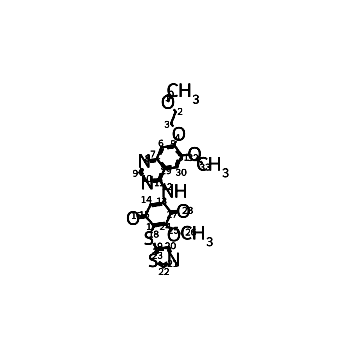 COCCOc1cc2ncnc(NC3=CC(=O)C(Sc4cncs4)=C(OC)C3=O)c2cc1OC